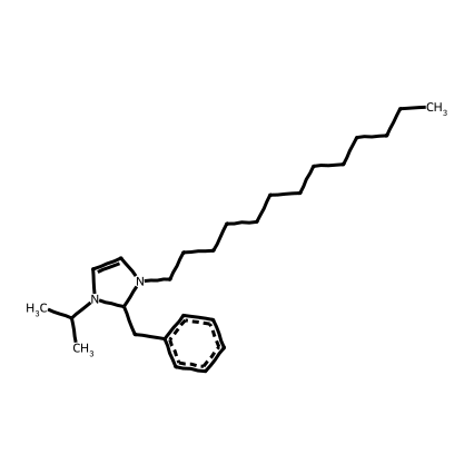 CCCCCCCCCCCCCN1C=CN(C(C)C)C1Cc1ccccc1